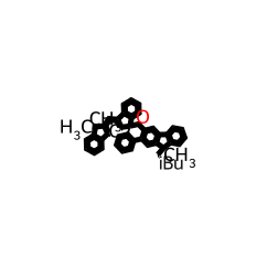 CC[C@@H](C)C[C@]1(C)c2ccccc2-c2cc3c(cc21)-c1ccccc1[C@]1(C3=O)c2ccccc2-c2cc3c(cc21)-c1ccccc1C3(C)C